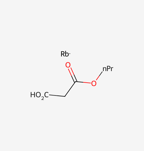 CCCOC(=O)CC(=O)O.[Rb]